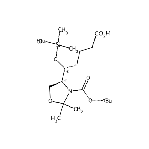 CC(C)(C)OC(=O)N1[C@H]([C@@H](CCCC(=O)O)O[Si](C)(C)C(C)(C)C)COC1(C)C